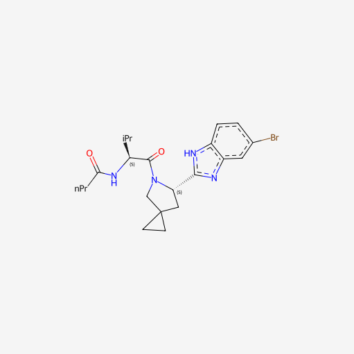 CCCC(=O)N[C@H](C(=O)N1CC2(CC2)C[C@H]1c1nc2cc(Br)ccc2[nH]1)C(C)C